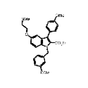 CCOC(=O)c1c(-c2ccc(OC)cc2)c2cc(OCCNC)ccc2n1Cc1cccc(OC)c1